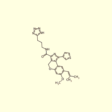 COc1cc2c(cc1C=C(C)C)-c1c(c(C(=O)NCCCc3nnn[nH]3)nn1-c1ccsc1)CO2